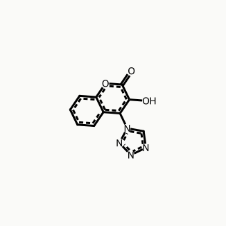 O=c1oc2ccccc2c(-n2cnnn2)c1O